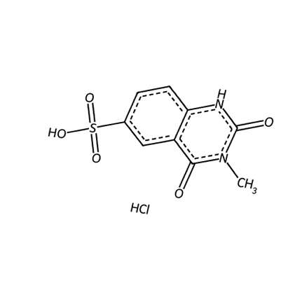 Cl.Cn1c(=O)[nH]c2ccc(S(=O)(=O)O)cc2c1=O